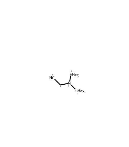 CCCCCCN(CC#N)CCCCCC